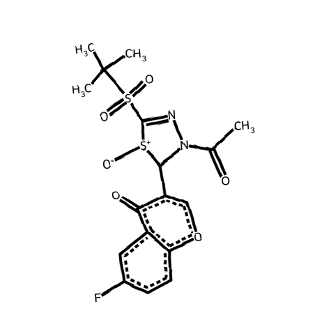 CC(=O)N1N=C(S(=O)(=O)C(C)(C)C)[S+]([O-])C1c1coc2ccc(F)cc2c1=O